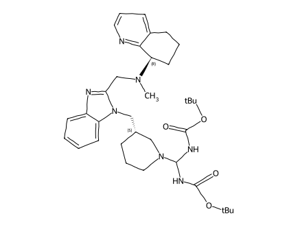 CN(Cc1nc2ccccc2n1C[C@H]1CCCN(C(NC(=O)OC(C)(C)C)NC(=O)OC(C)(C)C)C1)[C@@H]1CCCc2cccnc21